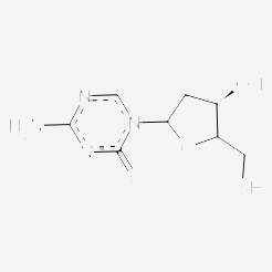 Nc1ncn(C2C[C@@H](O)C(CO)O2)c(=O)n1